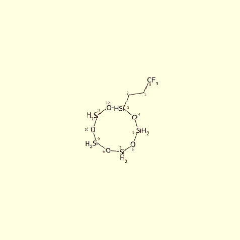 FC(F)(F)CC[SiH]1O[SiH2]O[SiH2]O[SiH2]O[SiH2]O1